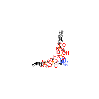 N.N.N.O=P(O)(O)O.O=P([O-])([O-])[O-].O=P([O-])([O-])[O-].O=P([O-])([O-])[O-].[H+].[H+].[H+].[H+].[H+].[H+].[H+].[H+].[H+]